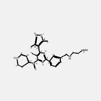 CNCCNCc1cccc(-c2nc(-c3c(C)noc3C)c(C)c(N(C)C3CCOCC3)n2)c1